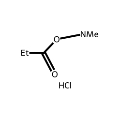 CCC(=O)ONC.Cl